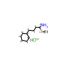 CCSC(N)CCCC1CCCCC1.Cl